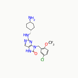 N[C@H]1CC[C@H](CNc2ncc3[nH]c(=O)n(Cc4cc(Cl)ccc4OC(F)(F)F)c3n2)CC1